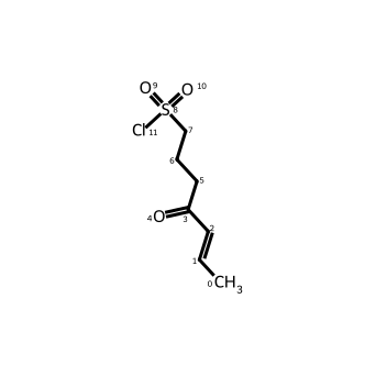 CC=CC(=O)CCCS(=O)(=O)Cl